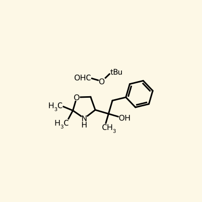 CC(C)(C)OC=O.CC1(C)NC(C(C)(O)Cc2ccccc2)CO1